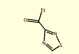 CCC(=O)c1ncsn1